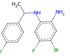 CC(Nc1cc(F)c(Br)cc1N)c1ccc(F)cc1